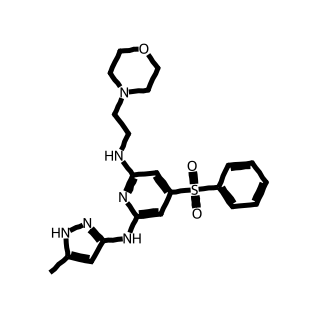 Cc1cc(Nc2cc(S(=O)(=O)c3ccccc3)cc(NCCN3CCOCC3)n2)n[nH]1